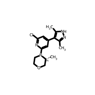 Cc1n[nH]c(C)c1-c1cc(Cl)nc(N2CCOC[C@H]2C)c1